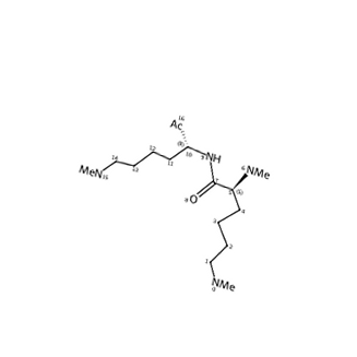 CNCCCC[C@H](NC)C(=O)N[C@H](CCCCNC)C(C)=O